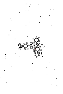 CS(CC(CC[C@@H]1CCCN1)OC(=O)c1ccc([N+](=O)[O-])cc1)(c1ccccc1)c1ccccc1